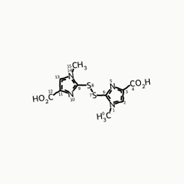 Cn1cc(C(=O)O)nc1SSc1nc(C(=O)O)cn1C